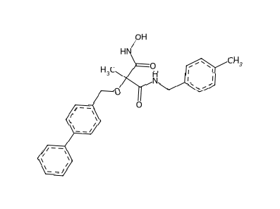 Cc1ccc(CNC(=O)C(C)(OCc2ccc(-c3ccccc3)cc2)C(=O)NO)cc1